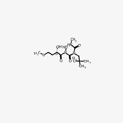 CNC(=O)N(CC(C)(C)C)C(=O)N(O)C(=O)[C@@H](O)CCOC